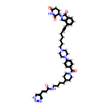 O=C(/C=C/c1cnnnc1)NCCCCC1CCN(C(=O)c2ccc(N3CCN(CCCCCC#Cc4cccc5c4CN(C4CCC(=O)NC4=O)C5=O)CC3)cc2)CC1